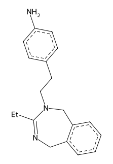 CCC1=NCc2ccccc2CN1CCc1ccc(N)cc1